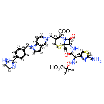 CC(C)(O/N=C(\C(=O)N[C@@H]1C(=O)N2C(C(=O)[O-])=C(C[n+]3ccc4c(ccn4Cc4ccc(C5=NCCN5)cc4)c3)CS[C@H]12)c1csc(N)n1)C(=O)O